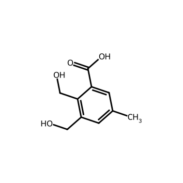 Cc1cc(CO)c(CO)c(C(=O)O)c1